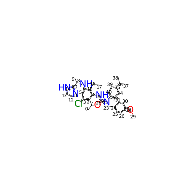 CCc1c(Cl)cc(NC(C)c2ncc[nH]2)c(CC)c1NC(=O)N(Cc1ccc(OC)cc1)c1ccc(C(C)C)cc1